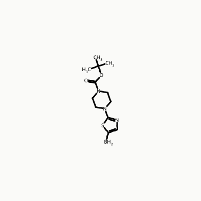 Bc1cnc(N2CCN(C(=O)OC(C)(C)C)CC2)s1